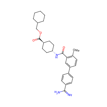 COc1ccc(-c2ccc(C(=N)N)cc2)cc1C(=O)N[C@H]1CC[C@H](C(=O)OCC2CCCCC2)CC1